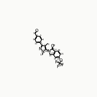 Cc1c(-c2ccc(C=O)cc2)nn(C)c1N1Cc2cc(OC(F)(F)F)ccc2C1=O